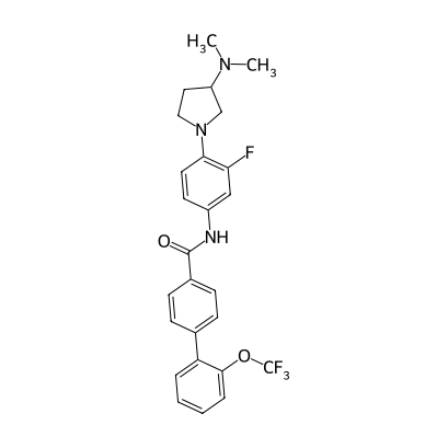 CN(C)C1CCN(c2ccc(NC(=O)c3ccc(-c4ccccc4OC(F)(F)F)cc3)cc2F)C1